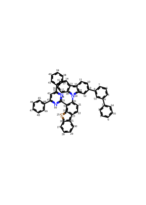 c1ccc(-c2cccc(-c3ccc4c5ccccc5n(-c5ccc6c(sc7ccccc76)c5-c5nc(-c6ccccc6)cc(-c6ccccc6)n5)c4c3)c2)cc1